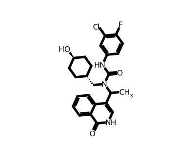 CC(c1c[nH]c(=O)c2ccccc12)N(C[C@H]1CC[C@H](O)CC1)C(=O)Nc1ccc(F)c(Cl)c1